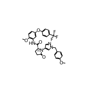 COc1ccc(Cn2cc(N3C(=O)CC[C@H]3C(=O)Nc3cc(Oc4ccc(C(F)(F)F)cc4)ccc3OC)cn2)cc1